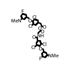 CNc1cc(F)cc(COc2c(Cl)cc(CC(=O)OC(=O)CNC(=O)c3cc(Cl)c(OCc4cc(F)cc(NC)c4)c(Cl)c3)cc2Cl)c1